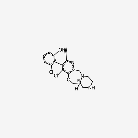 C#Cc1nc2c(c(Cl)c1-c1c(O)cccc1Cl)OC[C@H]1CNCCN1C2